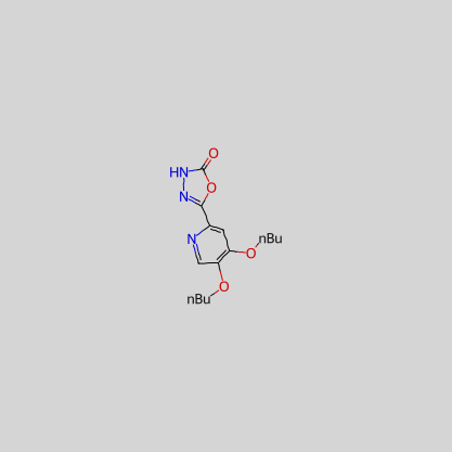 CCCCOc1cnc(-c2n[nH]c(=O)o2)cc1OCCCC